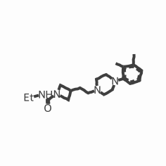 CCNC(=O)N1CC(CCN2CCN(c3cccc(C)c3C)CC2)C1